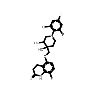 O=C1CCc2c(OCC3(O)CCN(c4c(F)cc(Cl)cc4Cl)CC3O)ccc(F)c2N1